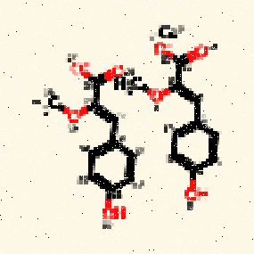 CO/C(=C\c1ccc(O)cc1)C(=O)[O-].CO/C(=C\c1ccc(O)cc1)C(=O)[O-].[Ca+2]